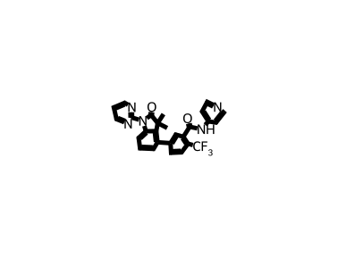 CC1(C)C(=O)N(c2ncccn2)c2cccc(-c3ccc(C(F)(F)F)c(C(=O)Nc4ccncc4)c3)c21